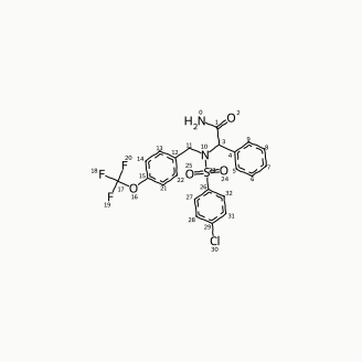 NC(=O)C(c1ccccc1)N(Cc1ccc(OC(F)(F)F)cc1)S(=O)(=O)c1ccc(Cl)cc1